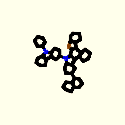 c1ccc(-n2c3ccccc3c3cc(-n4c5ccc(-c6cccc7ccccc67)cc5c5c6ccccc6c6c7ccccc7sc6c54)ccc32)cc1